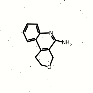 Nc1nc2cc[c]cc2c2c1COCC2